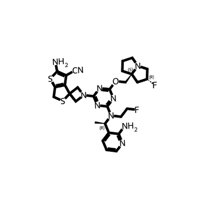 C[C@H](c1cccnc1N)N(CCF)c1nc(OC[C@@]23CCCN2C[C@H](F)C3)nc(N2CC3(C2)SCc2sc(N)c(C#N)c23)n1